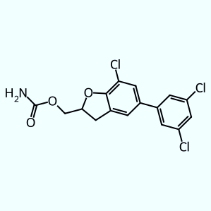 NC(=O)OCC1Cc2cc(-c3cc(Cl)cc(Cl)c3)cc(Cl)c2O1